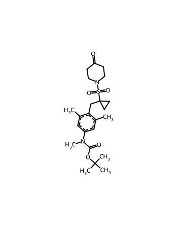 Cc1cc(N(C)C(=O)OC(C)(C)C)cc(C)c1CC1(S(=O)(=O)N2CCC(=O)CC2)CC1